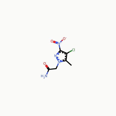 Cc1c(Cl)c([N+](=O)[O-])nn1CC(N)=O